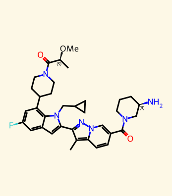 CO[C@@H](C)C(=O)N1CCC(c2cc(F)cc3cc(-c4nn5cc(C(=O)N6CCC[C@@H](N)C6)ccc5c4C)n(CC4CC4)c23)CC1